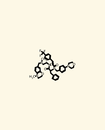 CN(CCN(C)C(=O)C(Cc1ccccc1)N(Cc1ccc(N2CCOCC2)cc1)C(=O)C=Cc1ccc(C(F)(F)F)cc1)Cc1ccc2c(c1)OCCN2C